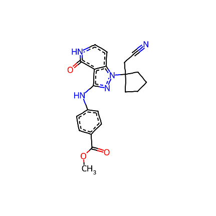 COC(=O)c1ccc(Nc2nn(C3(CC#N)CCCC3)c3cc[nH]c(=O)c23)cc1